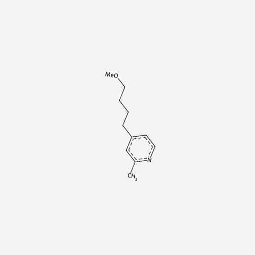 COCCCCc1ccnc(C)c1